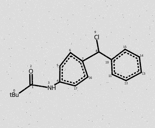 CC(C)(C)C(=O)Nc1ccc(C(Cl)c2ccccc2)cc1